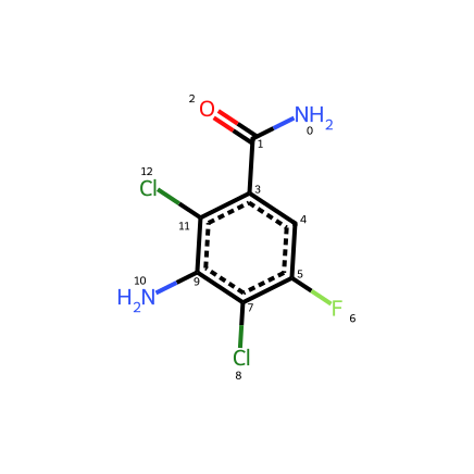 NC(=O)c1cc(F)c(Cl)c(N)c1Cl